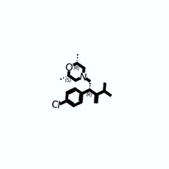 C=C(C(C)C)[C@@H](CN1C[C@@H](C)O[C@@H](C)C1)c1ccc(Cl)cc1